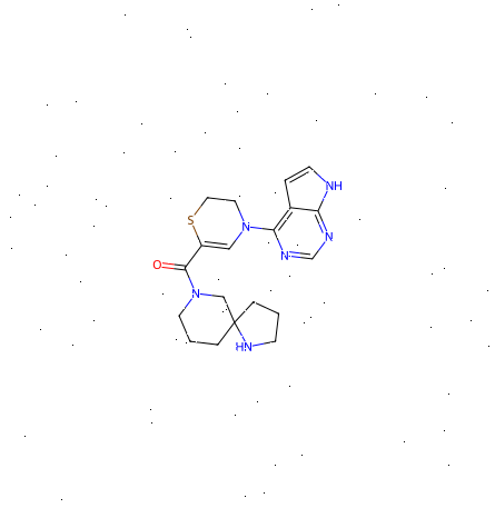 O=C(C1=CN(c2ncnc3[nH]ccc23)CCS1)N1CCCC2(CCCN2)C1